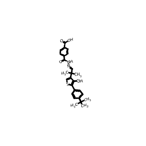 CC(C)(C)c1ccc(-c2scc(C(C)(C)C=NNC(=O)c3ccc(C(=O)O)cc3)c2O)cc1